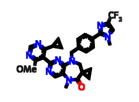 COc1ncnc(C2CC2)c1-c1ncc2c(n1)N(Cc1ccc(-c3nc(C(F)(F)F)cn3C)cc1)CC1(CC1)C(=O)N2C